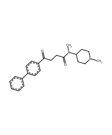 CN1CCC(N(C)C(=O)CCC(=O)c2ccc(-c3ccccc3)cc2)CC1